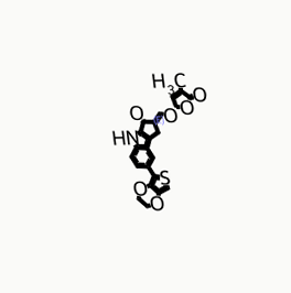 CC1=CC(O/C=C2\Cc3c([nH]c4ccc(-c5scc6c5OCCO6)cc34)C2=O)OC1=O